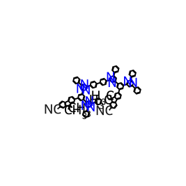 CC1(C)c2cc(C#N)ccc2-c2ccc(-c3cc(-c4cc(-c5ccccc5)nc(-c5ccccc5)n4)cc(-c4cc(-c5ccccc5)nc(-c5ccc(-c6ccc(-c7nc(-c8ccccc8)nc(-c8cc(-c9ccc%10c(c9)C(C)(C)c9cc(C#N)ccc9-%10)cc(-c9nc(-c%10ccccc%10)nc(-c%10ccccc%10)n9)c8)n7)cc6)cc5)n4)c3)cc21